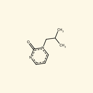 CC(C)Cn1cccnc1=O